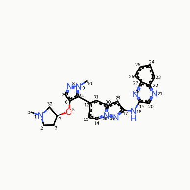 CN1CC[C@H](Oc2cnn(C)c2-c2ccn3nc(Nc4cnc5ccccc5n4)cc3c2)C1